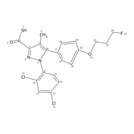 Cc1c(C(=O)S)nn(-c2ccc(Cl)cc2Cl)c1-c1ccc(OCCCF)cc1